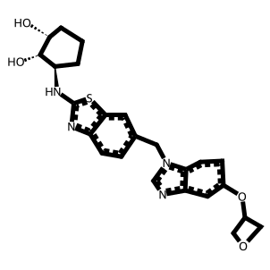 O[C@@H]1[C@H](O)CCC[C@H]1Nc1nc2ccc(Cn3cnc4cc(OC5COC5)ccc43)cc2s1